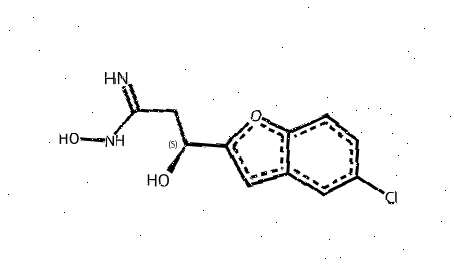 N=C(C[C@H](O)c1cc2cc(Cl)ccc2o1)NO